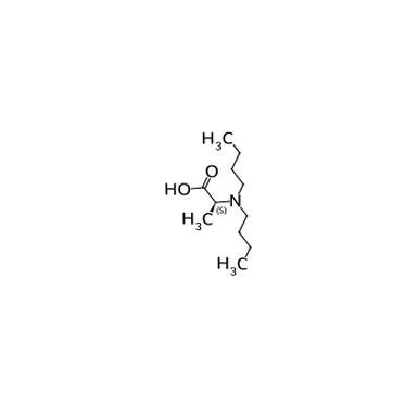 CCCCN(CCCC)[C@@H](C)C(=O)O